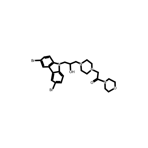 O=C(CN1CCN(CC(O)Cn2c3ccc(Br)cc3c3cc(Br)ccc32)CC1)N1CCOCC1